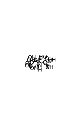 O=C1NC(c2cc(OO)c(OO)c(OO)c2)=C2C(=O)NC(c3cc(OO)c(OO)c(OO)c3)=C12